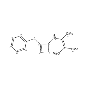 COC(OC)=C(OC)[SiH2]C1CC=C1Cc1ccccc1